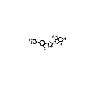 N[C@@]12CNC[C@@H]1CN(c1nnc(-c3ccc(-c4cn[nH]c4)cc3Cl)s1)C2